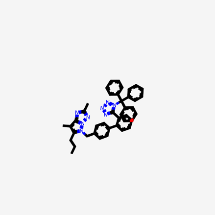 CCCc1c(C)c2nc(C)nn2n1Cc1ccc(-c2ccccc2-c2nnnn2C(c2ccccc2)(c2ccccc2)c2ccccc2)cc1